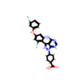 Nc1ncnc2c1c(-c1ccc(Oc3cccc(F)c3)cc1F)nn2C1CCC(C(=O)O)CC1